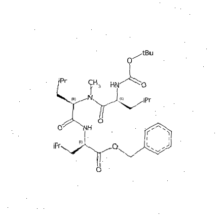 CC(C)C[C@H](NC(=O)OC(C)(C)C)C(=O)N(C)[C@H](CC(C)C)C(=O)N[C@H](CC(C)C)C(=O)OCc1ccccc1